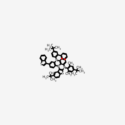 Cc1cc(C(C)(C)C)cc(C)c1N1c2cccc3c2B(c2ccc(-c4csc5ccccc45)cc2N3c2ccc(C(C)(C)C)cc2-c2ccccc2)c2c1sc1ccc(C(C)(C)C)cc21